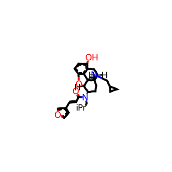 CC(C)CN(C(=O)/C=C/c1ccoc1)[C@@H]1CC[C@H]2[C@H]3Cc4c(O)ccc5c4[C@@]2(CCN3CC2CC2)[C@H]1O5